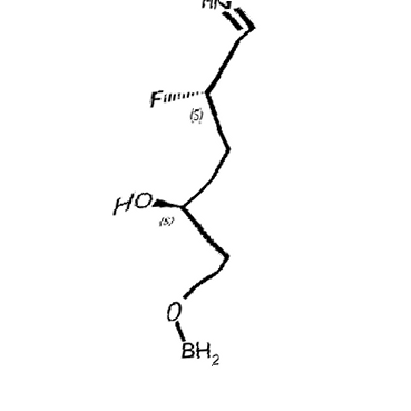 BOC[C@@H](O)C[C@H](F)C=N